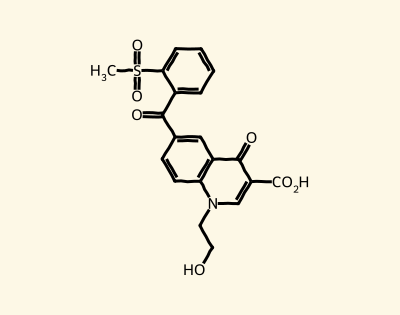 CS(=O)(=O)c1ccccc1C(=O)c1ccc2c(c1)c(=O)c(C(=O)O)cn2CCO